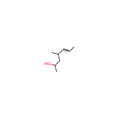 C/C=C/C(C)CC(C)O